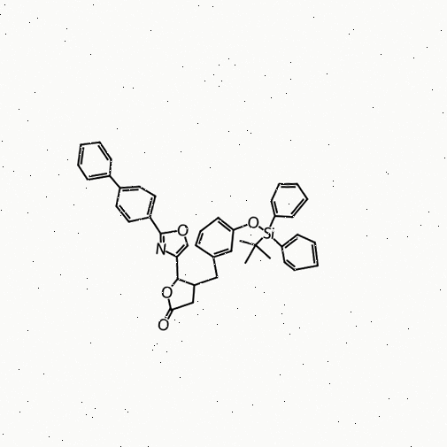 CC(C)(C)[Si](Oc1cccc(CC2CC(=O)OC2c2coc(-c3ccc(-c4ccccc4)cc3)n2)c1)(c1ccccc1)c1ccccc1